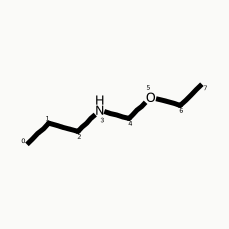 CCCNCOCC